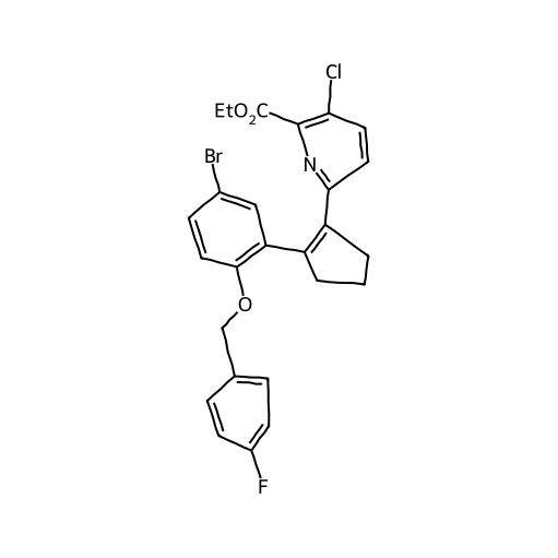 CCOC(=O)c1nc(C2=C(c3cc(Br)ccc3OCc3ccc(F)cc3)CCC2)ccc1Cl